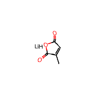 CC1=CC(=O)OC1=O.[LiH]